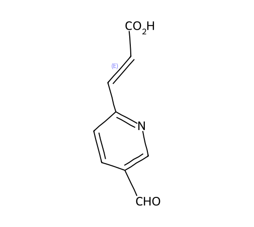 O=Cc1ccc(/C=C/C(=O)O)nc1